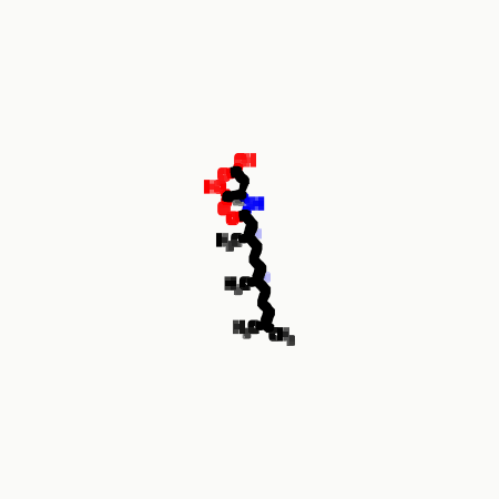 CC(C)=CCC/C(C)=C/CC/C(C)=C/C(=O)N[C@H](CC(=O)O)C(=O)O